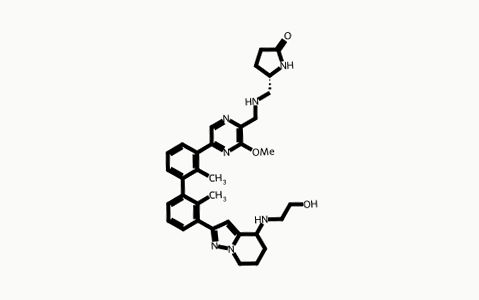 COc1nc(-c2cccc(-c3cccc(-c4cc5n(n4)CCCC5NCCO)c3C)c2C)cnc1CNC[C@@H]1CCC(=O)N1